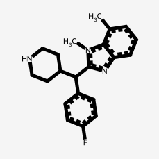 Cc1cccc2nc(C(c3ccc(F)cc3)C3CCNCC3)n(C)c12